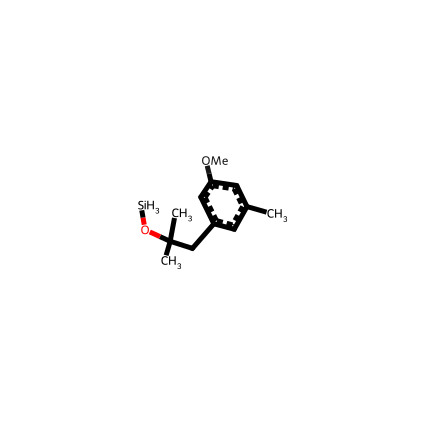 COc1cc(C)cc(CC(C)(C)O[SiH3])c1